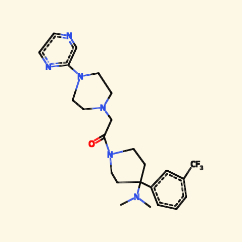 CN(C)C1(c2cccc(C(F)(F)F)c2)CCN(C(=O)CN2CCN(c3cnccn3)CC2)CC1